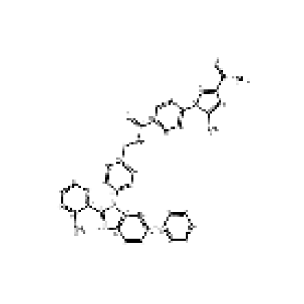 Cc1cc(C(N)=O)nn1-c1ccc(C(=O)NCc2ccc(-n3c(-c4cccnc4N)nc4ccc(-c5ccccc5)nc43)cc2)cc1